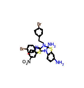 Nc1ccc2c(c1)SC(N)(N(CCc1ccc(Br)cc1)c1nc3ccc([N+](=O)[O-])cc3s1)N2CCc1ccc(Br)cc1